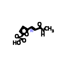 CNC(=O)/C=C/c1ccc(S(=O)(=O)O)o1